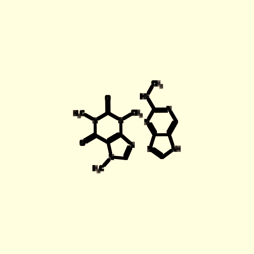 CNc1ncc2[nH]cnc2n1.Cn1c(=O)c2c(ncn2C)n(C)c1=O